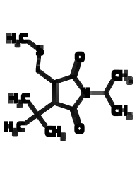 CSCC1=C(C(C)(C)C)C(=O)N(C(C)C)C1=O